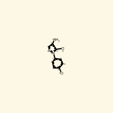 Nc1cnn(-c2ccc(Cl)cc2)c1Cl